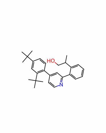 CC(CO)c1ccccc1-c1cc(-c2ccc(C(C)(C)C)cc2C(C)(C)C)ccn1